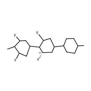 CC1CCC(C2CC(F)C(C3CC(F)C(C)C(F)C3)[C@@H](F)C2)CC1